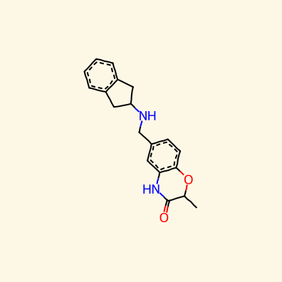 CC1Oc2ccc(CNC3Cc4ccccc4C3)cc2NC1=O